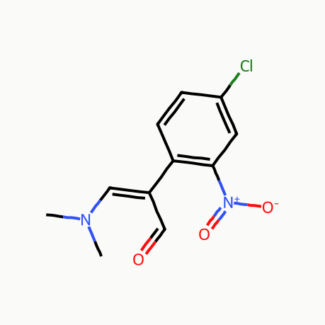 CN(C)C=C(C=O)c1ccc(Cl)cc1[N+](=O)[O-]